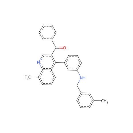 Cc1cccc(CNc2cccc(-c3c(C(=O)c4ccccc4)cnc4c(C(F)(F)F)cccc34)c2)c1